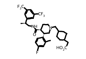 Cc1cc(F)ccc1[C@H]1CN(CC2CCC(CC(=O)O)CC2)CC[C@@H]1C(=O)NC[C@@H](C)c1cc(C(F)(F)F)cc(C(F)(F)F)c1